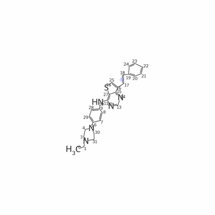 CCN1CCN(c2ccc(Nc3ncnc4c(/C=C/c5ccccc5)csc34)cc2)CC1